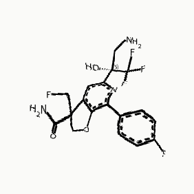 NC[C@](O)(c1cc2c(c(-c3ccc(F)cc3)n1)OCC2(CF)C(N)=O)C(F)(F)F